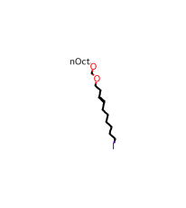 CCCCCCCCOCOCCC=CCCCCCCI